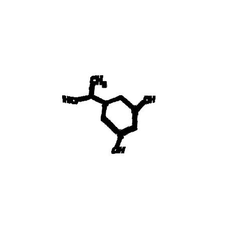 CC(O)N1CN(O)CN(O)C1